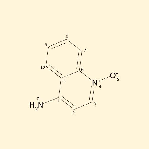 Nc1cc[n+]([O-])c2ccccc12